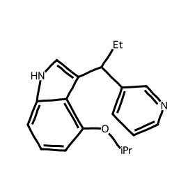 [CH2]CC(c1cccnc1)c1c[nH]c2cccc(OC(C)C)c12